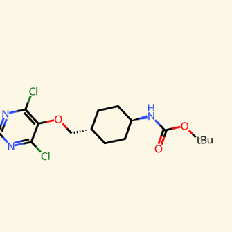 CC(C)(C)OC(=O)N[C@H]1CC[C@H](COc2c(Cl)ncnc2Cl)CC1